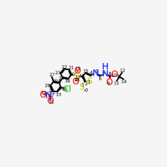 CSc1sc(/N=C/NC(=O)OC(C)(C)C)cc1S(=O)(=O)c1cccc(-c2c(C)cc([N+](=O)[O-])cc2Cl)c1